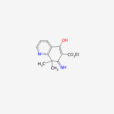 CCOC(=O)C1=C(O)c2cccnc2C(C)(C)C1=N